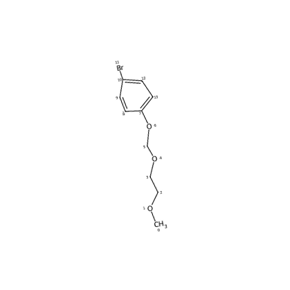 COCCOCOc1[c]cc(Br)cc1